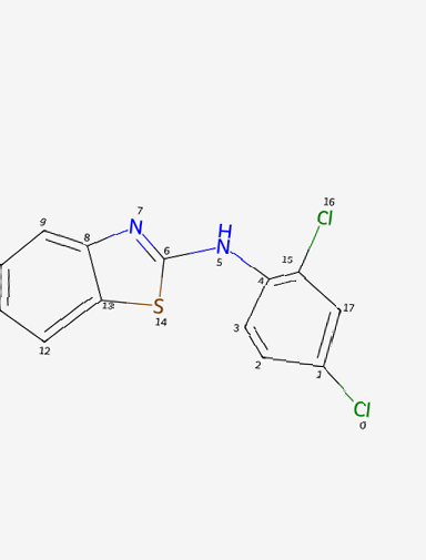 Clc1ccc(Nc2nc3ccccc3s2)c(Cl)c1